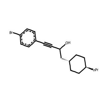 CCC[C@H]1CC[C@H](CC(O)C#Cc2ccc(Br)cc2)CC1